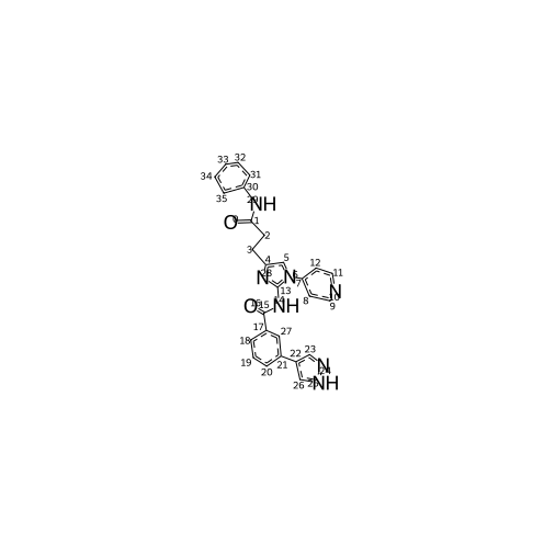 O=C(CCc1cn(-c2ccncc2)c(NC(=O)c2cccc(-c3cn[nH]c3)c2)n1)Nc1ccccc1